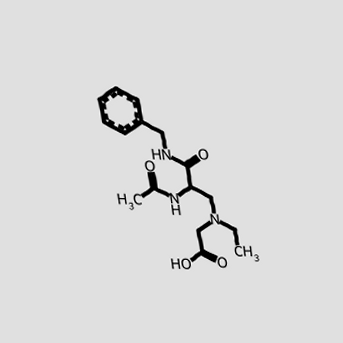 CCN(CC(=O)O)CC(NC(C)=O)C(=O)NCc1ccccc1